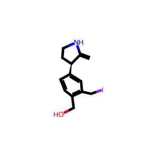 C=C1NCC[C@@H]1c1ccc(CO)c(CI)c1